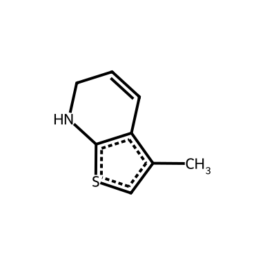 Cc1csc2c1C=CCN2